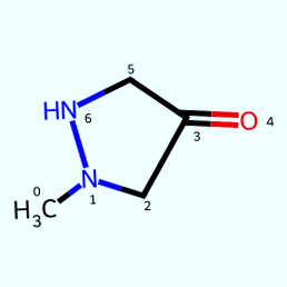 CN1CC(=O)CN1